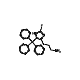 NCCCc1nc(F)[nH]c1C(c1ccccc1)(c1ccccc1)c1ccccc1